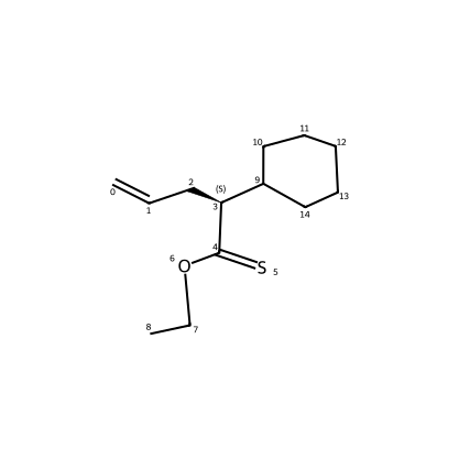 C=CC[C@H](C(=S)OCC)C1CCCCC1